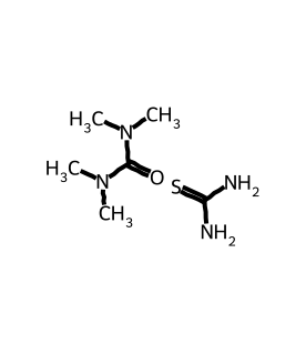 CN(C)C(=O)N(C)C.NC(N)=S